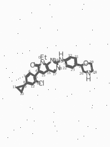 CCn1c(=O)c(-c2ccc(C3CC3)cc2Cl)cc2cnc(Nc3ccc(C4CNCCO4)cc3)nc21